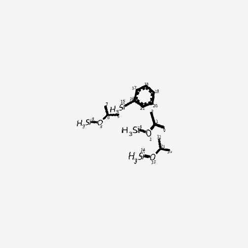 CC(C)O[SiH3].CC(C)O[SiH3].CC(C)O[SiH3].[SiH3]c1ccccc1